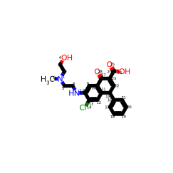 CN(CCO)CCNc1cc2c(cc1Cl)C(c1ccccc1)C=C(C(=O)O)C2=O